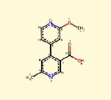 COc1cc(-c2cc(C)ncc2C(=O)O)ccn1